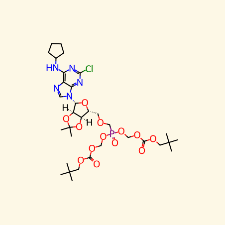 CC(C)(C)COC(=O)OCOP(=O)(COC[C@H]1O[C@@H](n2cnc3c(NC4CCCC4)nc(Cl)nc32)[C@@H]2OC(C)(C)O[C@@H]21)OCOC(=O)OCC(C)(C)C